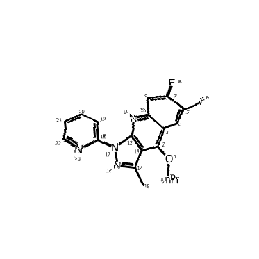 CCCOc1c2cc(F)c(F)cc2nc2c1c(C)nn2-c1ccccn1